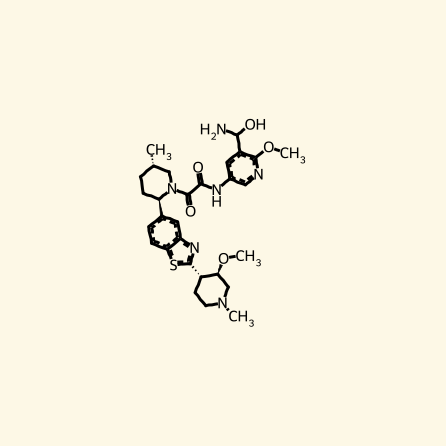 COc1ncc(NC(=O)C(=O)N2C[C@@H](C)CC[C@@H]2c2ccc3sc([C@H]4CCN(C)C[C@@H]4OC)nc3c2)cc1C(N)O